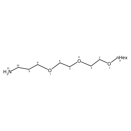 CCCCCCOCCOCCOCCCN